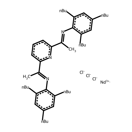 CCCCc1cc(CCCC)c(N=C(C)c2cccc(C(C)=Nc3c(CCCC)cc(CCCC)cc3CCCC)n2)c(CCCC)c1.[Cl-].[Cl-].[Cl-].[Nd+3]